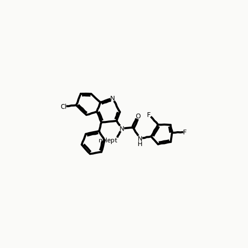 CCCCCCCN(C(=O)Nc1ccc(F)cc1F)c1cnc2ccc(Cl)cc2c1-c1ccccc1